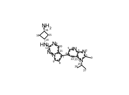 Cc1nc2ncc(-c3ccn4nc(N[C@H]5C[C@H](N)C5)ncc34)cc2n1C(C)C